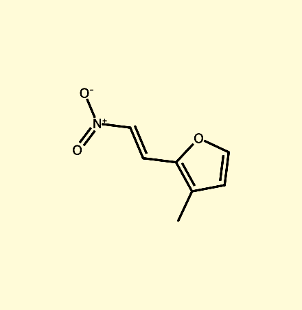 Cc1ccoc1/C=C/[N+](=O)[O-]